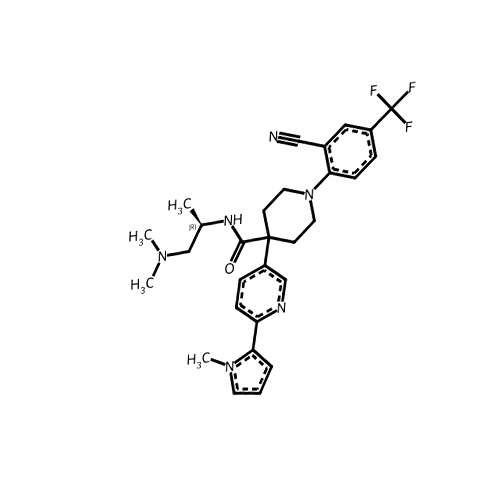 C[C@H](CN(C)C)NC(=O)C1(c2ccc(-c3cccn3C)nc2)CCN(c2ccc(C(F)(F)F)cc2C#N)CC1